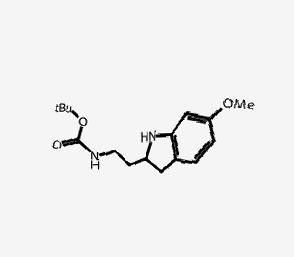 COc1ccc2c(c1)NC(CCNC(=O)OC(C)(C)C)C2